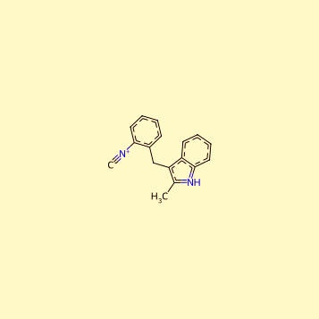 [C-]#[N+]c1ccccc1Cc1c(C)[nH]c2ccccc12